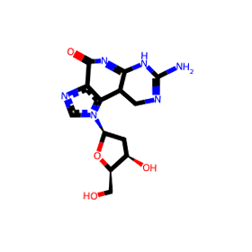 NC1=NCC2C(=NC(=O)c3ncn([C@H]4C[C@@H](O)[C@@H](CO)O4)c32)N1